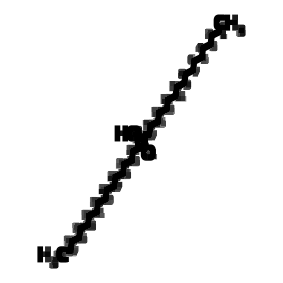 CCCCCCCCCCCCCCCCCCN(O)C(=O)CCCCCCCCCCCCCCCCC